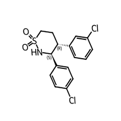 O=S1(=O)CC[C@H](c2cccc(Cl)c2)[C@@H](c2ccc(Cl)cc2)N1